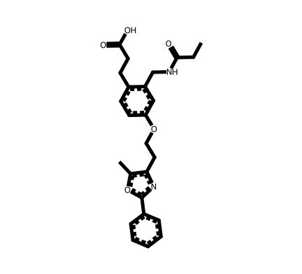 CCC(=O)NCc1cc(OCCc2nc(-c3ccccc3)oc2C)ccc1CCC(=O)O